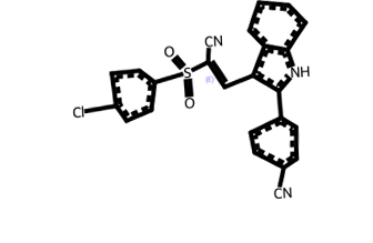 N#C/C(=C\c1c(-c2ccc(C#N)cc2)[nH]c2ccccc12)S(=O)(=O)c1ccc(Cl)cc1